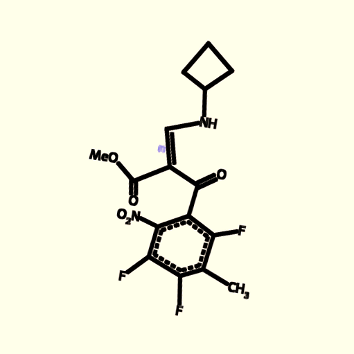 COC(=O)/C(=C/NC1CCC1)C(=O)c1c(F)c(C)c(F)c(F)c1[N+](=O)[O-]